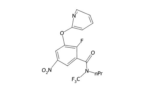 CCCN(C(=O)c1cc([N+](=O)[O-])cc(Oc2ccccn2)c1F)C(F)(F)F